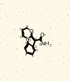 NC(=O)c1c2n(c3ccccc13)C=CCO2